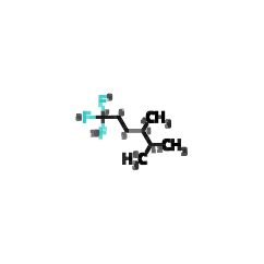 CC(C)C(C)CCC(F)(F)F